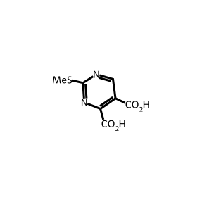 CSc1ncc(C(=O)O)c(C(=O)O)n1